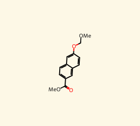 COCOc1ccc2cc(C(=O)OC)ccc2c1